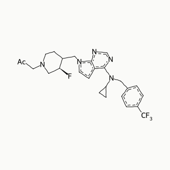 CC(=O)CN1CCC(Cn2ccc3c(N(Cc4ccc(C(F)(F)F)cc4)C4CC4)ncnc32)[C@@H](F)C1